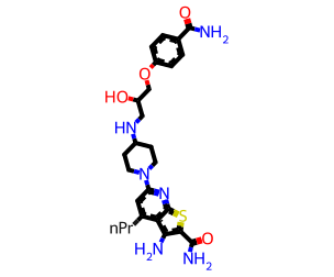 CCCc1cc(N2CCC(NCC(O)COc3ccc(C(N)=O)cc3)CC2)nc2sc(C(N)=O)c(N)c12